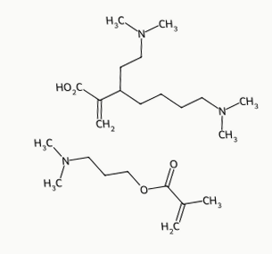 C=C(C(=O)O)C(CCCCN(C)C)CCN(C)C.C=C(C)C(=O)OCCCN(C)C